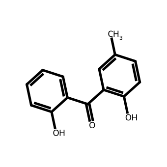 Cc1ccc(O)c(C(=O)c2ccccc2O)c1